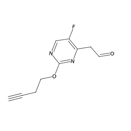 C#CCCOc1ncc(F)c(CC=O)n1